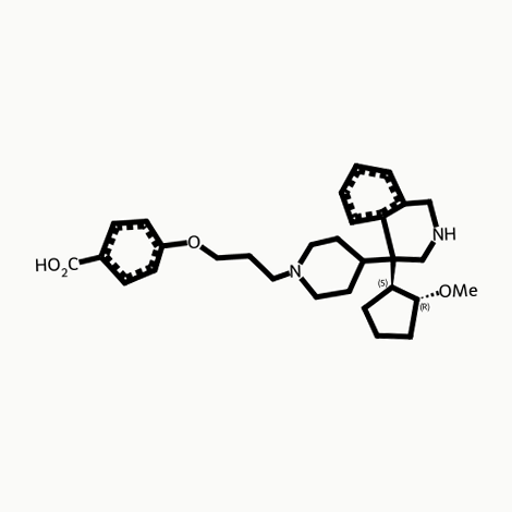 CO[C@@H]1CCC[C@H]1C1(C2CCN(CCCOc3ccc(C(=O)O)cc3)CC2)CNCc2ccccc21